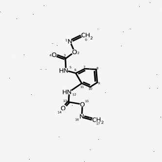 C=NOC(=O)Nc1ccccc1NC(=O)ON=C